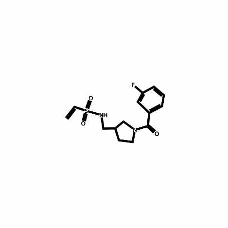 C=CS(=O)(=O)NCC1CCN(C(=O)c2cccc(F)c2)C1